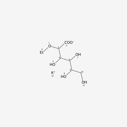 CCOC(C(=O)[O-])C(O)C(O)C(O)CO.[K+]